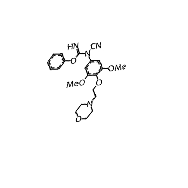 COc1cc(N(C#N)C(=N)Oc2ccccc2)cc(OC)c1OCCN1CCOCC1